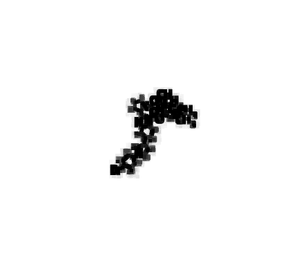 CC(C)(C)OC(=O)N1CCCC1c1nc2cc(-c3ccn(-c4ccc(Br)cc4)c3)ccc2n1COCC[Si](C)(C)C